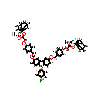 CC1(OC(=O)COc2ccc(COc3ccc4c(c3)-c3cc(OCc5ccc(OCC(=O)OC6(C)C7CC8CC(C7)CC6C8)cc5)ccc3[SH]4c3ccc(F)cc3)cc2)C2CC3CC(C2)CC1C3